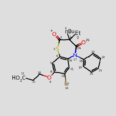 CCCCC1(CC)C(=O)Sc2cc(OCCC(=O)O)c(Br)cc2N(c2ccccc2)C1=O